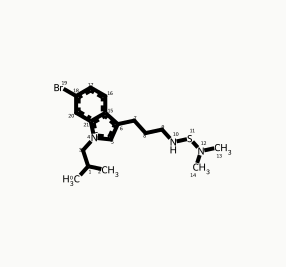 CC(C)Cn1cc(CCCNSN(C)C)c2ccc(Br)cc21